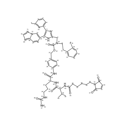 Cc1cccc(-c2nc(CN(CCc3ccccc3F)C(=O)OCc3ccc(NC(=O)C(CCCNC(N)=O)NC(=O)C(NC(=O)CCCCCN4C(=O)C=CC4=O)C(C)C)cc3)[nH]c2-c2ccc3ncnn3c2)n1